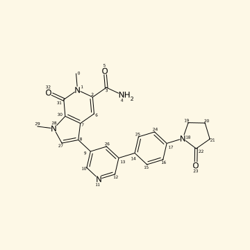 Cn1c(C(N)=O)cc2c(-c3cncc(-c4ccc(N5CCCC5=O)cc4)c3)cn(C)c2c1=O